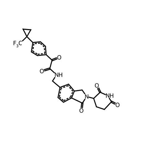 O=C1CCC(N2Cc3cc(CNC(=O)C(=O)c4ccc(C5(C(F)(F)F)CC5)cc4)ccc3C2=O)C(=O)N1